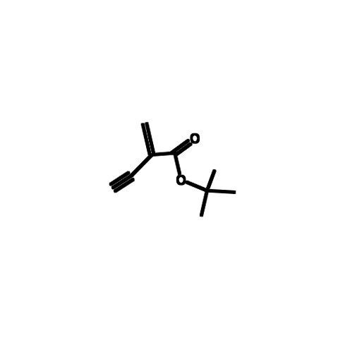 C#CC(=C)C(=O)OC(C)(C)C